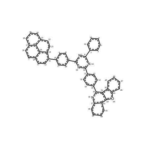 c1ccc(-c2nc(-c3ccc(-c4ccc5ccc6cccc7ccc4c5c67)cc3)nc(-c3ccc(-c4nc5ccccc5c5oc6ccccc6c45)cc3)n2)cc1